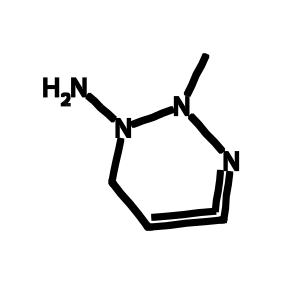 CN1N=C=CCN1N